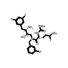 CCCCC(F)CC[C@@H](NC(=O)NC)C(=O)N(Cc1cccc(CC)c1)C[C@@H](O)[C@@H](N)Cc1cc(F)cc(F)c1